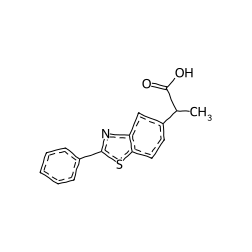 CC(C(=O)O)c1ccc2sc(-c3ccccc3)nc2c1